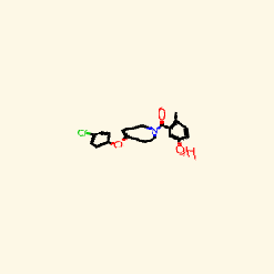 Cc1ccc(O)cc1C(=O)N1CCC(Oc2ccc(Cl)cc2)CC1